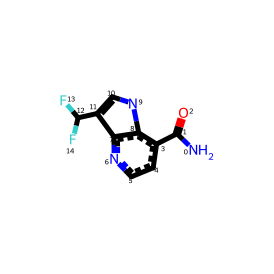 NC(=O)c1ccnc2c1[N]C=C2C(F)F